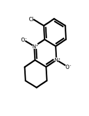 [O-][n+]1c2c([n+]([O-])c3c(Cl)cccc31)CCCC2